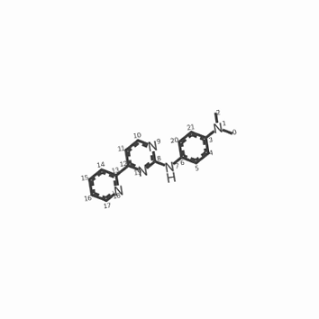 CN(C)c1ccc(Nc2nccc(-c3ccccn3)n2)cc1